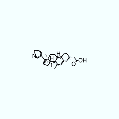 C[C@@H]1C=C2C[C@@H](CC(=O)O)CC[C@]2(C)[C@H]2CC[C@]3(C)C(c4cccnc4)=CC[C@H]3[C@H]12